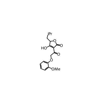 COc1ccccc1OCC(=O)C1=C(O)C(CC(C)C)OC1=O